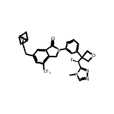 Cn1cnnc1[C@@H](F)C1(c2cccc(N3Cc4c(cc(CN5CC6CC5C6)cc4C(F)(F)F)C3=O)c2)COC1